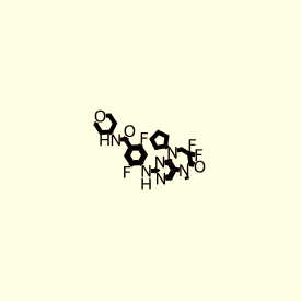 CN1C(=O)C(F)(F)CN(C2CCCC2)c2nc(Nc3cc(F)c(C(=O)NC4CCOCC4)cc3F)ncc21